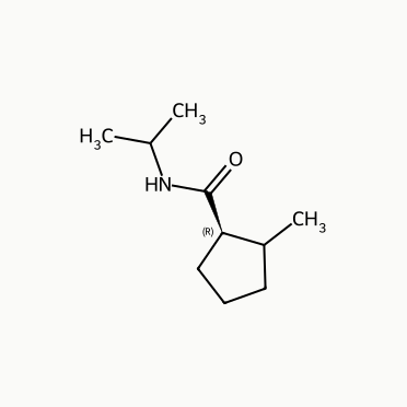 CC(C)NC(=O)[C@@H]1CCCC1C